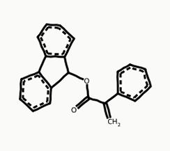 C=C(C(=O)OC1c2ccccc2-c2ccccc21)c1ccccc1